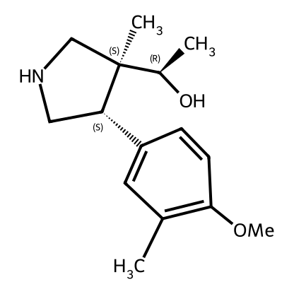 COc1ccc([C@@H]2CNC[C@@]2(C)[C@@H](C)O)cc1C